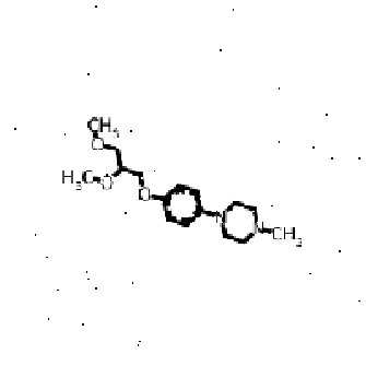 COCC(COc1ccc(N2CCN(C)CC2)cc1)OC